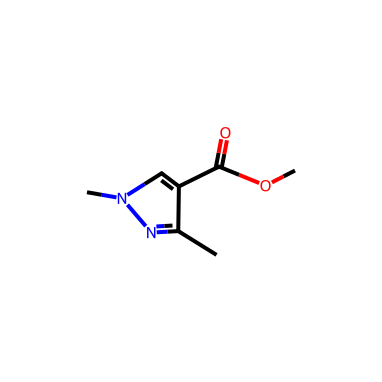 COC(=O)c1cn(C)nc1C